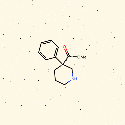 COC(=O)C1(c2ccccc2)CCCNC1